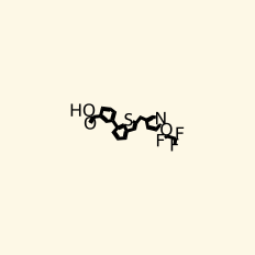 O=C(O)c1cccc(-c2cccc3cc(Cc4ccc(OC(F)C(F)F)nc4)sc23)c1